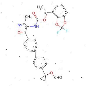 Cc1noc(-c2ccc(-c3ccc(C4(OC=O)CC4)cc3)cc2)c1NC(=O)O[C@H](C)c1cccc2c1OC(F)(F)O2